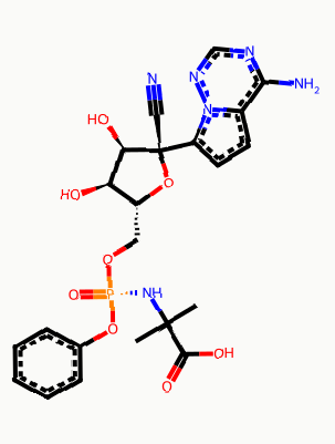 CC(C)(N[P@](=O)(OC[C@H]1O[C@@](C#N)(c2ccc3c(N)ncnn23)[C@H](O)[C@@H]1O)Oc1ccccc1)C(=O)O